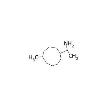 CC1CCCCC(C(C)N)CCC1